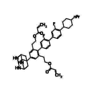 C=CC(=O)OCCc1cc(C23CC4NC(C2)NC(C3)N4)cc(CCOC(=O)C=C)c1-c1ccc(-c2ccc(C3CCC(CCC)CC3)c(F)c2)c(F)c1